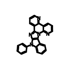 c1ccc(-n2c3ccccc3c3c2nc2c4cccnc4c4cccnc4n23)cc1